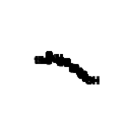 CC(C)(C)OC(=O)NCc1ccc(OCCOOCOOOOCO)cc1